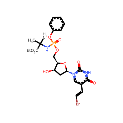 CCOC(=O)C(C)(C)NP(=O)(OC[C@H]1O[C@@H](n2cc(/C=C/Br)c(=O)[nH]c2=O)C[C@H]1O)Oc1ccccc1